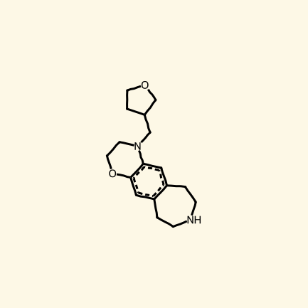 c1c2c(cc3c1OCCN3CC1CCOC1)CCNCC2